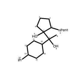 CCCCCC1CCCC1(O)C(C)(O)C1CCC(C(C)C)CC1